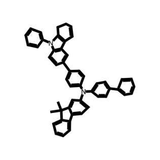 CC1(C)c2ccccc2-c2ccc(N(c3ccc(-c4ccccc4)cc3)c3ccc(-c4ccc5c(c4)c4c(n5-c5ccccc5)CCC=C4)cc3)cc21